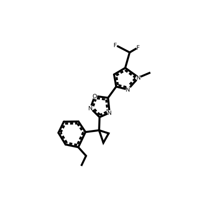 CCc1ccccc1C1(c2noc(-c3cc(C(F)F)n(C)n3)n2)CC1